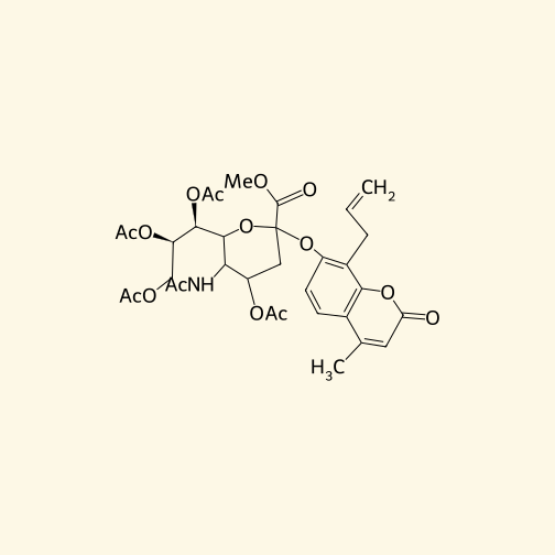 C=CCc1c(OC2(C(=O)OC)CC(OC(C)=O)C(NC(C)=O)C([C@H](OC(C)=O)[C@@H](COC(C)=O)OC(C)=O)O2)ccc2c(C)cc(=O)oc12